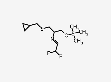 C[Si](C)(C)OCC(CSCC1CC1)N=CC(F)F